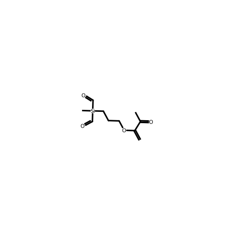 C=C(OCCC[Si](C)(C=O)C=O)C(C)=O